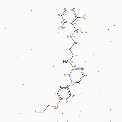 CCCOc1ccc(-c2ccnc([AsH]CCCNC(=O)c3c(Cl)cccc3Cl)n2)cc1